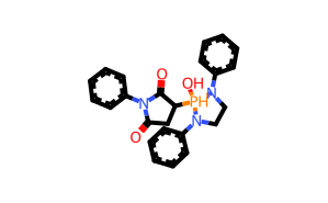 O=C1CC([PH]2(O)N(c3ccccc3)CCN2c2ccccc2)C(=O)N1c1ccccc1